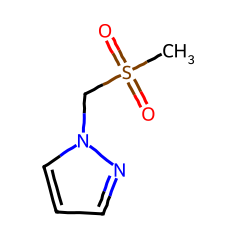 CS(=O)(=O)Cn1cccn1